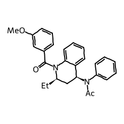 CC[C@@H]1C[C@H](N(C(C)=O)c2ccccc2)c2ccccc2N1C(=O)c1cccc(OC)c1